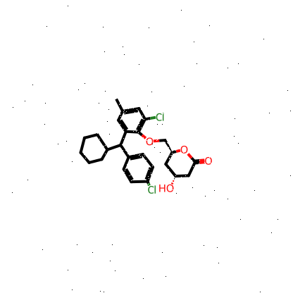 Cc1cc(Cl)c(OC[C@@H]2C[C@@H](O)CC(=O)O2)c(C(c2ccc(Cl)cc2)C2CCCCC2)c1